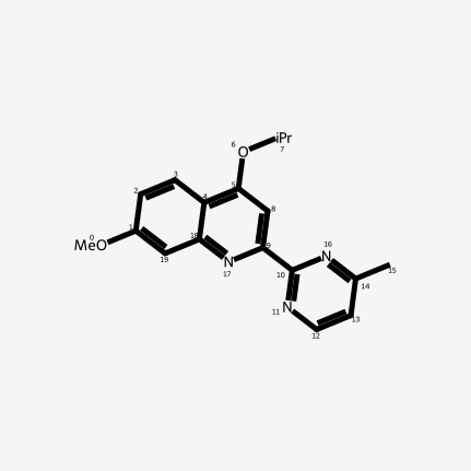 COc1ccc2c(OC(C)C)cc(-c3nccc(C)n3)nc2c1